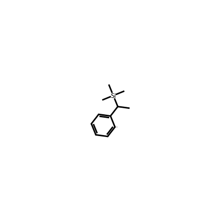 CC(c1[c]cccc1)[Si](C)(C)C